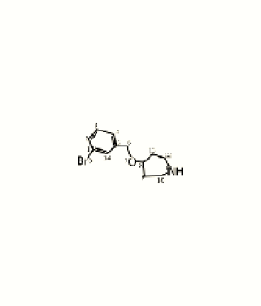 Brc1cccc(COC2CCNCC2)c1